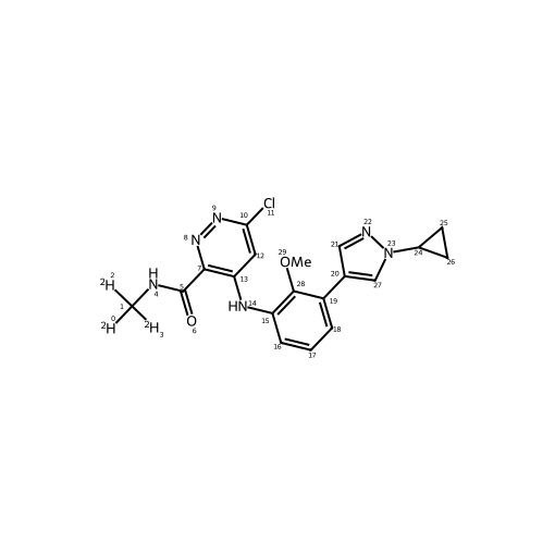 [2H]C([2H])([2H])NC(=O)c1nnc(Cl)cc1Nc1cccc(-c2cnn(C3CC3)c2)c1OC